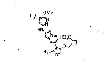 COc1nnc(Nc2cc3cc(-c4c(OCC5CCN5C(=O)O)cnn4C)ccn3n2)cc1C